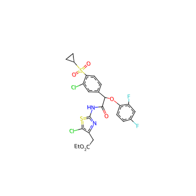 CCOC(=O)Cc1nc(NC(=O)C(Oc2ccc(F)cc2F)c2ccc(S(=O)(=O)C3CC3)c(Cl)c2)sc1Cl